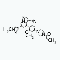 C=CC(=O)N1CCN(c2ccc(-c3cc(-c4cnn(C)c4)cn4ncc(C#N)c34)c(OC)c2)CC1